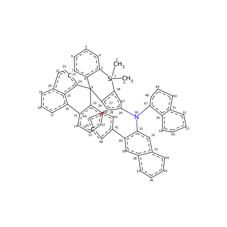 C[Si]1(C)c2ccccc2C2(c3ccccc3-c3cccc4cccc2c34)c2ccc(N(c3cc4ccccc4cc3-c3ccccc3)c3cccc4ccccc34)cc21